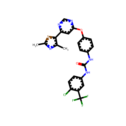 Cc1nc(C)c(-c2cc(Oc3ccc(NC(=O)Nc4ccc(Cl)c(C(F)(F)F)c4)cc3)ncn2)s1